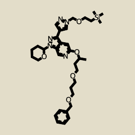 CC(CCOCCCOCc1ccccc1)Oc1cc2c(-c3cnn(COCC[Si](C)(C)C)c3)nn(C3CCCCO3)c2cn1